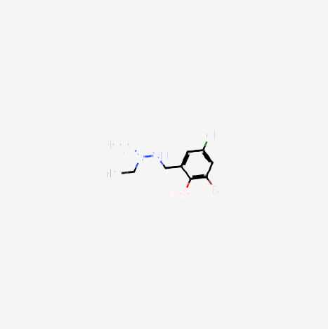 CC(C)CN(NCc1cc(Cl)cc(Br)c1O)C(=O)O